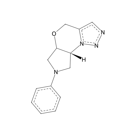 c1ccc(N2CC3OCc4cnnn4[C@@H]3C2)cc1